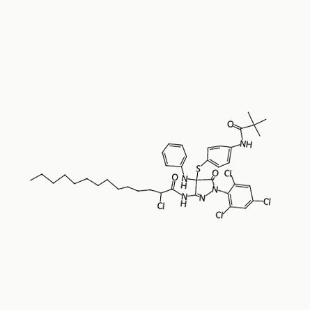 CCCCCCCCCCCCC(Cl)C(=O)NC1=NN(c2c(Cl)cc(Cl)cc2Cl)C(=O)C1(Nc1ccccc1)Sc1ccc(NC(=O)C(C)(C)C)cc1